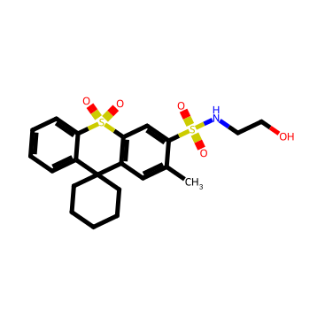 Cc1cc2c(cc1S(=O)(=O)NCCO)S(=O)(=O)c1ccccc1C21CCCCC1